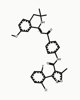 COc1ccc2c(c1)/C(=C/C(=O)c1ccc(NC(=O)c3c(-c4c(F)cccc4Cl)noc3C)cc1)NC(C)(C)C2